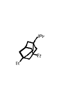 CCC12CC3CC(CC)(C1)CC(C(C)C)(C3)C2